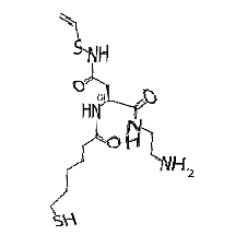 C=CSNC(=O)C[C@H](NC(=O)CCCCCS)C(=O)NCCN